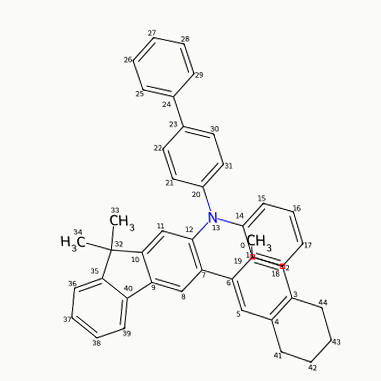 Cc1cc2c(cc1-c1cc3c(cc1N(c1ccccc1)c1ccc(-c4ccccc4)cc1)C(C)(C)c1ccccc1-3)CCCC2